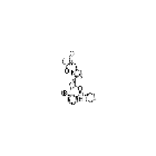 CC(C)(C)C1CN(c2nc(CN3C(=O)CCC3=O)cs2)C1O[SiH](c1ccccc1)c1ccccc1